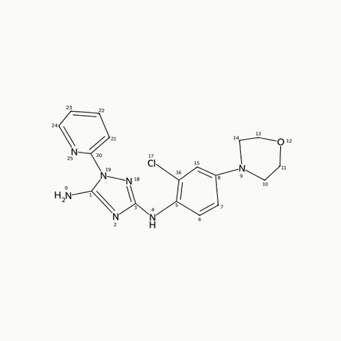 Nc1nc(Nc2ccc(N3CCOCC3)cc2Cl)nn1-c1ccccn1